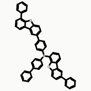 c1ccc(-c2ccc(N(c3ccc(-c4ccc5oc6c(-c7ccccc7)cccc6c5c4)cc3)c3cccc4c3oc3ccc(-c5ccccc5)cc34)cc2)cc1